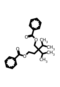 CC(C)C(CCOC(=O)c1ccccc1)(COC(=O)c1ccccc1)C(C)C